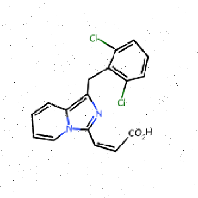 O=C(O)/C=C\c1nc(Cc2c(Cl)cccc2Cl)c2ccccn12